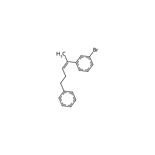 CC(=CCCc1ccccc1)c1cccc(Br)c1